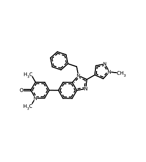 Cc1cc(-c2ccc3nc(-c4cnn(C)c4)n(Cc4ccccc4)c3c2)cn(C)c1=O